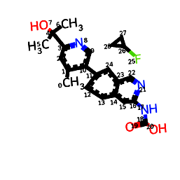 Cc1cc(C(C)(C)O)ncc1-c1ccc2cc(NC(=O)O)ncc2c1.FC1CC1